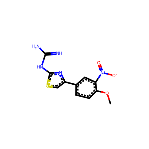 COc1ccc(-c2csc(NC(=N)N)n2)cc1[N+](=O)[O-]